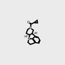 O=C(C1CC1)N1CC[C@H]2[C@@H](C1)c1cccc3c1N2CC3